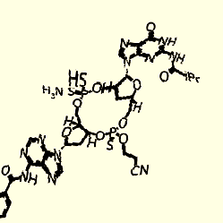 CC(C)C(=O)Nc1nc2c(ncn2[C@@H]2O[C@@H]3COP(=S)(OCCC#N)O[C@H]4C[C@H](n5cnc6c(NC(=O)c7ccccc7)ncnc65)O[C@@H]4COP(=S)(S)O[C@@H]2C3)c(=O)[nH]1.N